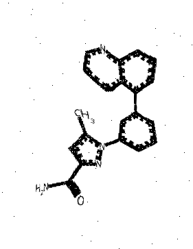 Cc1cc(C(N)=O)nn1-c1cccc(-c2cccc3ncccc23)c1